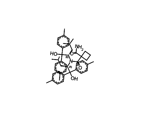 Cc1ccc(C(O)(c2ccc(C)cc2)[C@@H](CC(C)C)N(C(=O)C2(C(N)=O)CCC2)[C@H](CC(C)C)C(O)(c2ccc(C)cc2)c2ccc(C)cc2)cc1